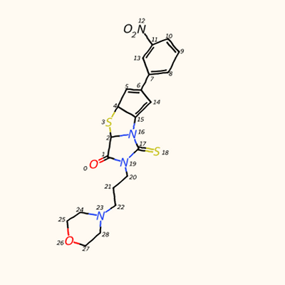 O=C1C2SC3C=C(c4cccc([N+](=O)[O-])c4)C=C3N2C(=S)N1CCCN1CCOCC1